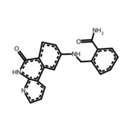 NC(=O)c1ccccc1CNc1ccc2c(=O)[nH]c3ncccc3c2c1